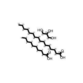 CCCCCCCCCC(=O)O.CCCCCCCCCCCCCCCC(=O)O.OCC(O)CO